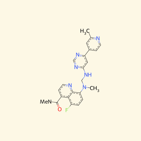 CNC(=O)c1ccnc2c(N(C)CNc3cc(-c4ccnc(C)c4)ncn3)ccc(F)c12